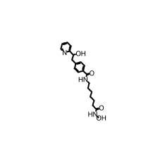 O=C(CCCCCCNC(=O)c1ccc(CC(O)c2ccccn2)cc1)NO